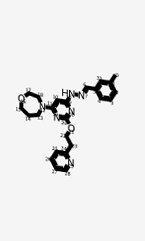 Cc1cccc(C=NNc2cc(N3CCCOCC3)nc(OCCc3ccccn3)n2)c1